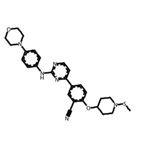 CSN1CCC(Oc2ccc(-c3ccnc(Nc4ccc(N5CCOCC5)cc4)n3)cc2C#N)CC1